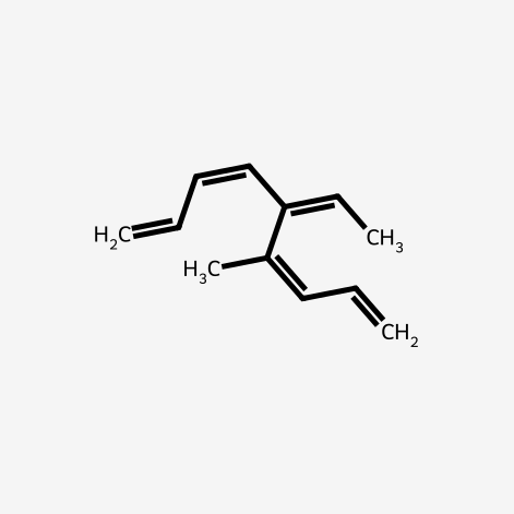 C=C\C=C/C(=C/C)C(/C)=C\C=C